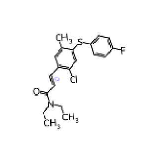 CCN(CC)C(=O)/C=C/c1cc(C)c(Sc2ccc(F)cc2)cc1Cl